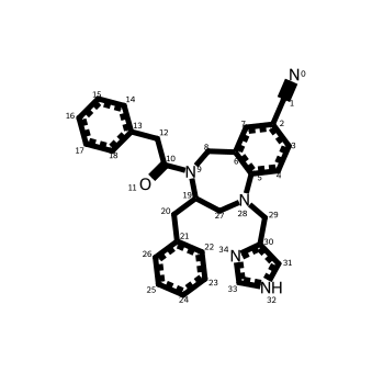 N#Cc1ccc2c(c1)CN(C(=O)Cc1ccccc1)C(Cc1ccccc1)CN2Cc1c[nH]cn1